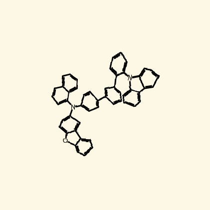 c1cc(-c2ccc(N(c3ccc4oc5ccccc5c4c3)c3cccc4ccccc34)cc2)cc(-c2ccccc2-n2c3ccccc3c3ccccc32)c1